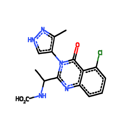 Cc1n[nH]cc1-n1c(C(C)NC(=O)O)nc2cccc(Cl)c2c1=O